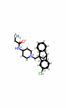 CCC(=O)NC1CCN(CC23CC(c4ccccc42)c2ccc(Cl)cc23)CC1